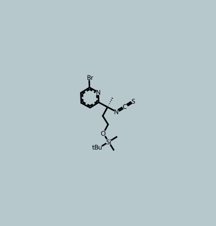 CC(C)(C)[Si](C)(C)OCC[C@](C)(N=C=S)c1cccc(Br)n1